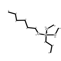 CCCCCCO[Si](CCC)(OC)OC